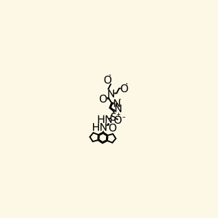 COCCN(CCOC)C(=O)c1cc([S+]([O-])NC(=O)Nc2c3c(cc4c2CCC4)CCC3)nn1C